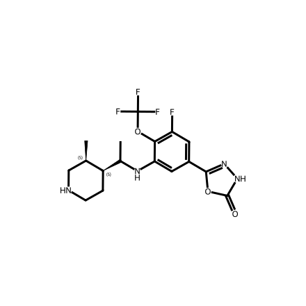 CC(Nc1cc(-c2n[nH]c(=O)o2)cc(F)c1OC(F)(F)F)[C@H]1CCNC[C@H]1C